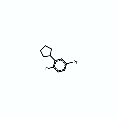 CC(C)c1ccc(F)c(C2CCCC2)c1